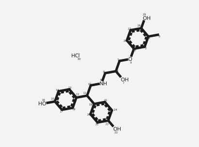 Cc1cc(OCC(O)CNCC(c2ccc(O)cc2)c2ccc(O)cc2)ccc1O.Cl